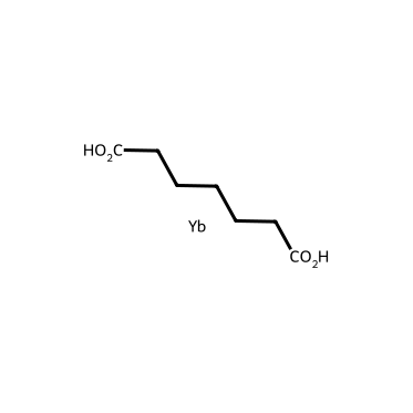 O=C(O)CCCCCC(=O)O.[Yb]